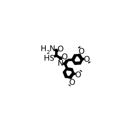 COc1ccc(-c2nc(C(S)C(N)=O)oc2-c2ccc(OC)c(OC)c2)cc1OC